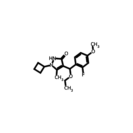 CCOC(c1ccc(OC)cc1F)c1c(C)n(C2CCC2)[nH]c1=O